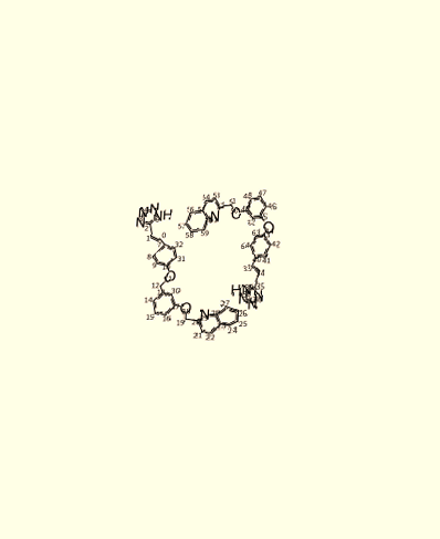 C(=C\c1nnn[nH]1)/c1ccc(OCc2cccc(OCc3ccc4ccccc4n3)c2)cc1.C(=C\c1nnn[nH]1)/c1ccc(Oc2cccc(OCc3ccc4ccccc4n3)c2)cc1